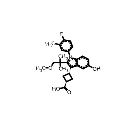 COCC(C)(C)c1c([C@H]2C[C@H](C(=O)O)C2)c2cc(O)ccc2n1-c1ccc(F)c(C)c1